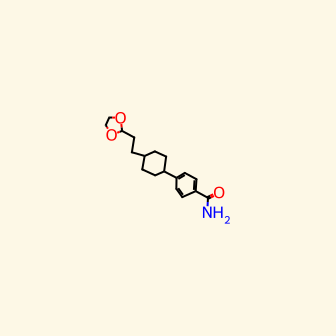 NC(=O)c1ccc(C2CCC(CCC3OCCO3)CC2)cc1